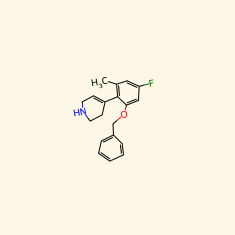 Cc1cc(F)cc(OCc2ccccc2)c1C1=CCNCC1